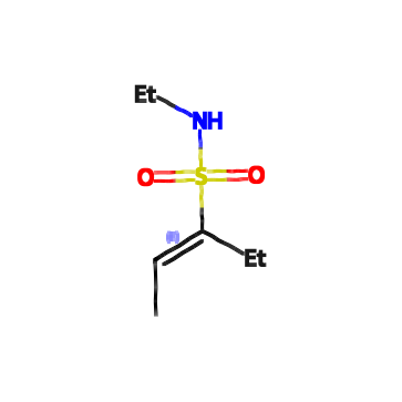 C/C=C(\CC)S(=O)(=O)NCC